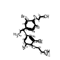 CCC(c1cc(Br)c(OCCO)c(Br)c1)c1cc(Br)c(OCCO)c(Br)c1